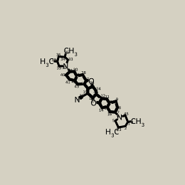 CC1CC(C)CN(c2ccc3cc4c(cc3c2)oc2c(C#N)c3c(cc24)oc2cc4cc(N5CC(C)CC(C)C5)ccc4cc23)C1